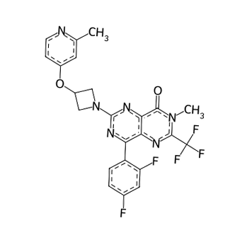 Cc1cc(OC2CN(c3nc(-c4ccc(F)cc4F)c4nc(C(F)(F)F)n(C)c(=O)c4n3)C2)ccn1